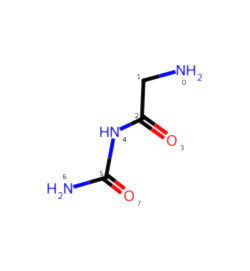 NCC(=O)NC(N)=O